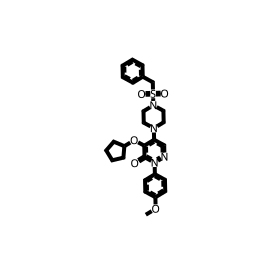 COc1ccc(-n2ncc(N3CCN(S(=O)(=O)Cc4ccccc4)CC3)c(OC3CCCC3)c2=O)cc1